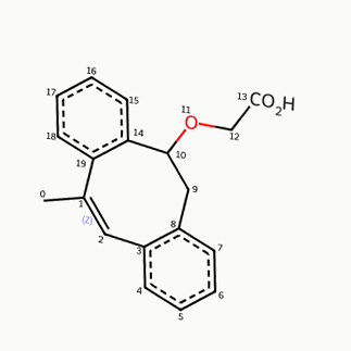 C/C1=C/c2ccccc2CC(OCC(=O)O)c2ccccc21